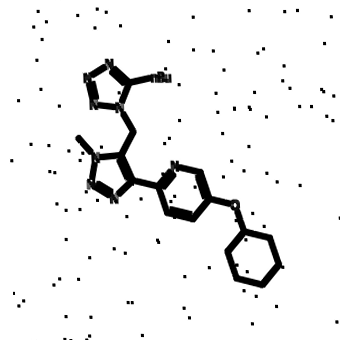 CCCCc1nnnn1Cc1c(-c2ccc(OC3CCCCC3)cn2)nnn1C